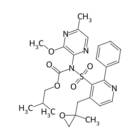 COc1nc(C)cnc1N(C(=O)OCC(C)C)S(=O)(=O)c1c(CC2(C)CO2)ccnc1-c1ccccc1